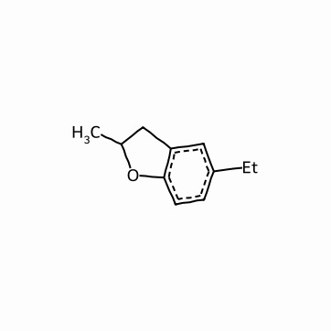 CCc1ccc2c(c1)CC(C)O2